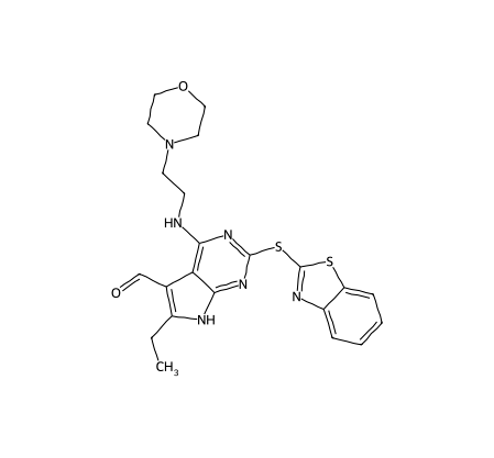 CCc1[nH]c2nc(Sc3nc4ccccc4s3)nc(NCCN3CCOCC3)c2c1C=O